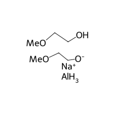 COCCO.COCC[O-].[AlH3].[Na+]